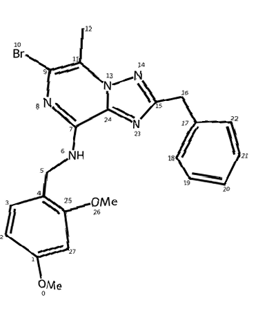 COc1ccc(CNc2nc(Br)c(C)n3nc(Cc4ccccc4)nc23)c(OC)c1